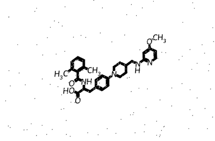 COc1ccnc(NCC2CCN(c3ccc(CC(NC(=O)c4c(C)cccc4C)C(=O)O)cc3)CC2)c1